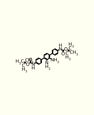 CC(C)(C)OC(=O)Nc1ccc(-c2ccc(-c3ccc(NC(=O)OC(C)(C)C)cc3)c(N)c2N)cc1